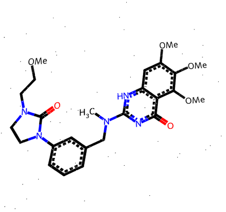 COCCN1CCN(c2cccc(CN(C)c3nc(=O)c4c(OC)c(OC)c(OC)cc4[nH]3)c2)C1=O